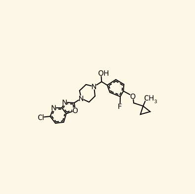 CC1(COc2ccc(C(O)N3CCN(c4nc5nc(Cl)ccc5o4)CC3)cc2F)CC1